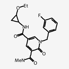 CCOC1CC1NC(=O)c1cc(C(=O)NC)c(=O)n(Cc2cccc(F)c2)c1